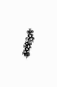 COC1(C(=O)N[C@@H]2CC[C@H]3c4ccc(C(F)(C(F)(F)F)C(F)(F)F)cc4CC[C@@H]23)CCN(S(C)(=O)=O)CC1C